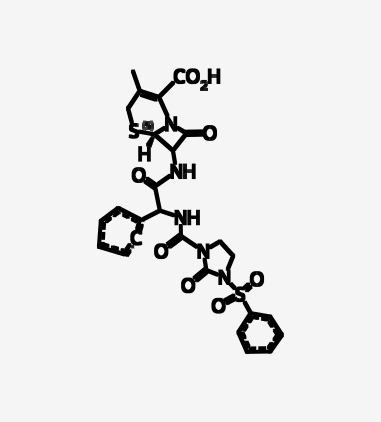 CC1=C(C(=O)O)N2C(=O)C(NC(=O)C(NC(=O)N3CCN(S(=O)(=O)c4ccccc4)C3=O)c3ccccc3)[C@@H]2SC1